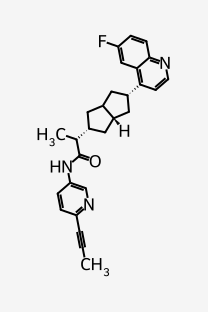 CC#Cc1ccc(NC(=O)C(C)[C@@H]2CC3C[C@H](c4ccnc5ccc(F)cc45)C[C@@H]3C2)cn1